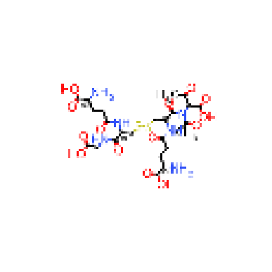 CC(=O)C(C(=O)O)N(C(C)=O)C(=O)[C@H](CSSC[C@H](NC(=O)CC[C@H](N)C(=O)O)C(=O)NCC(=O)O)NC(=O)CC[C@H](N)C(=O)O